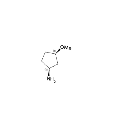 CO[C@@H]1CC[C@H](N)C1